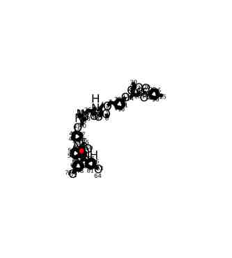 COC(=O)C(COCc1cccc(OCC(COS(=O)(=O)c2ccc(C)cc2)OC(C)=O)c1)NC(=O)Cn1cc(COc2ccc3nc(S(=O)(=O)NC(c4ccccc4)(c4ccc(OC)cc4)c4ccc(OC)cc4)sc3c2)nn1